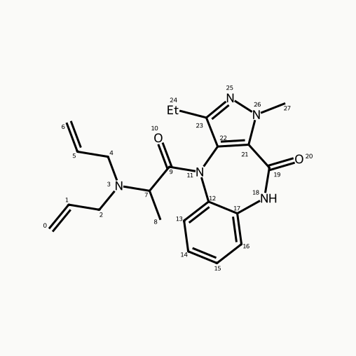 C=CCN(CC=C)C(C)C(=O)N1c2ccccc2NC(=O)c2c1c(CC)nn2C